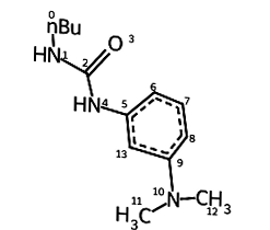 CCCCNC(=O)Nc1cccc(N(C)C)c1